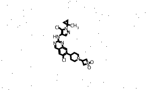 CC1(n2ncc(Nc3ncc4cc(Cl)c(C5CCN(C6CS(=O)(=O)C6)CC5)cc4n3)c2Cl)CC1